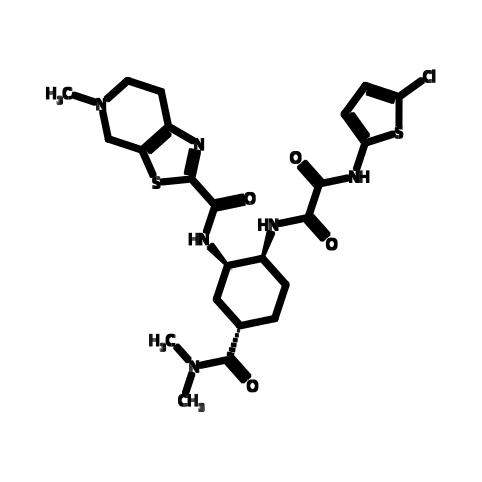 CN1CCc2nc(C(=O)N[C@@H]3C[C@@H](C(=O)N(C)C)CC[C@@H]3NC(=O)C(=O)Nc3ccc(Cl)s3)sc2C1